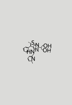 Cc1cccc(CNc2nc(C(CO)CO)nc3sc(C)c(-c4ccccc4)c23)n1